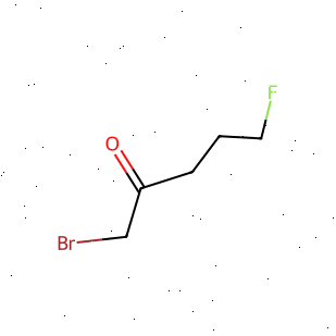 O=C(CBr)CCCF